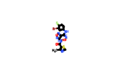 Cc1ncsc1C(=O)Nc1nonc1/C(=N\O)Nc1ccc(F)c(Br)c1